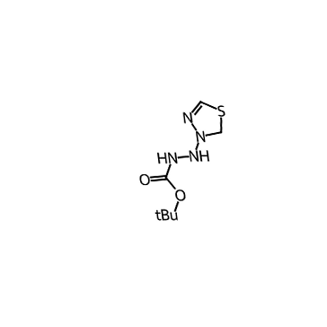 CC(C)(C)OC(=O)NNN1CSC=N1